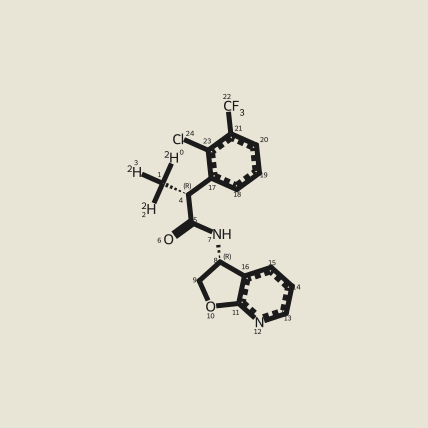 [2H]C([2H])([2H])[C@@H](C(=O)N[C@H]1COc2ncccc21)c1cccc(C(F)(F)F)c1Cl